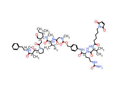 CC[C@H](C)[C@@H]([C@H](C=O)CC(=O)N1CCC[C@H]1[C@H](OC)[C@@H](C)C(=O)NCCc1ccccc1)N(C)C(=O)[C@@H](NC(=O)CN(C)C(=O)OCc1ccc(NC(=O)[C@H](CCCNC(N)=O)NC(=O)[C@@H](NC(=O)CCCCCN2C(=O)C=CC2=O)C(C)C)cc1)C(C)C